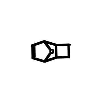 [CH]1CC2C3C=CC(O3)C12